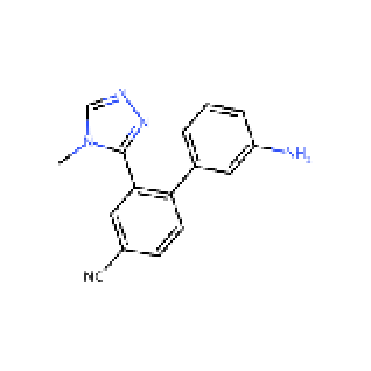 Cn1cnnc1-c1cc(C#N)ccc1-c1cccc(N)c1